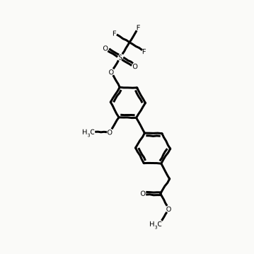 COC(=O)Cc1ccc(-c2ccc(OS(=O)(=O)C(F)(F)F)cc2OC)cc1